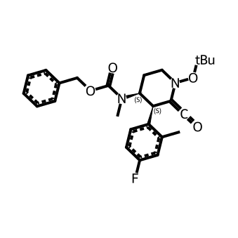 Cc1cc(F)ccc1[C@@H]1C(=C=O)N(OC(C)(C)C)CC[C@@H]1N(C)C(=O)OCc1ccccc1